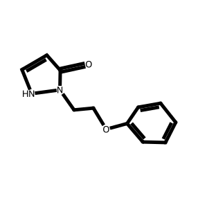 O=c1cc[nH]n1CCOc1ccccc1